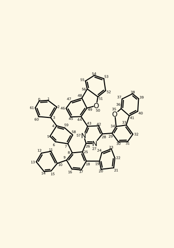 c1ccc(-c2ccc(-c3c(-c4ccccc4)ccc(-c4ccccc4)c3-c3nc(-c4cccc5c4oc4ccccc45)cc(-c4cccc5c4oc4ccccc45)n3)cc2)cc1